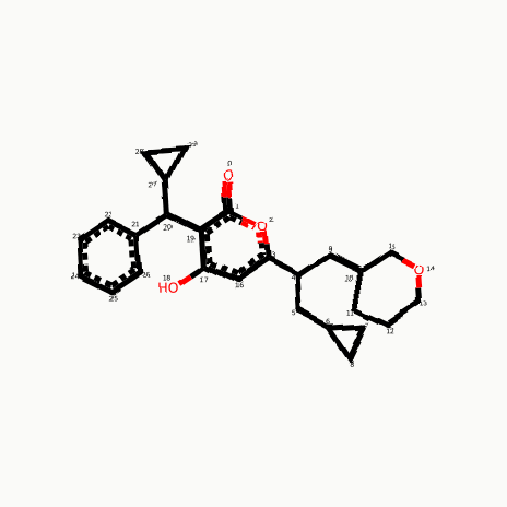 O=c1oc(C(CC2CC2)CC2CCCOC2)cc(O)c1C(c1ccccc1)C1CC1